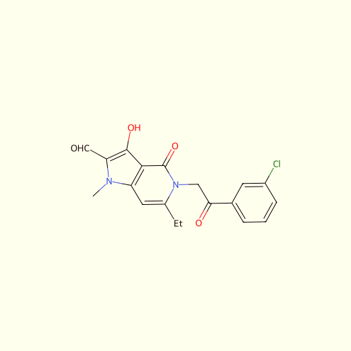 CCc1cc2c(c(O)c(C=O)n2C)c(=O)n1CC(=O)c1cccc(Cl)c1